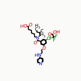 CCC(C)CN(CCCCCC(=O)O)C(=O)c1cc(Cl)cc(OCCNc2ccncc2)c1.O=C(O)C(F)(F)F